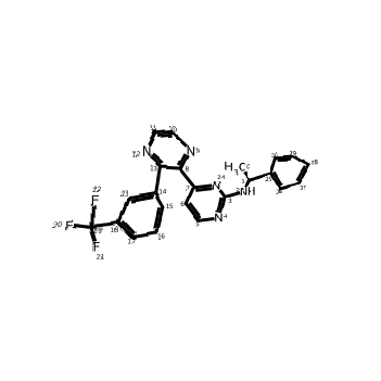 C[C@H](Nc1nccc(-c2nccnc2-c2cccc(C(F)(F)F)c2)n1)c1ccccc1